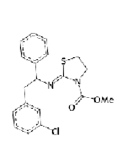 COC(=O)N1CCSC1=NC(Cc1cccc(Cl)c1)c1ccccc1